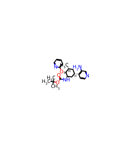 C[C@@H]1C[C@H](c2ccncc2N)C[C@H](NC(=O)OC(C)(C)C)[C@@H]1Oc1ccccn1